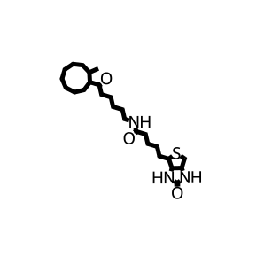 CC1CCCCCCCC1C(=O)CCCCCNC(=O)CCCCC1SCC2NC(=O)NC21